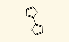 [c]1ccc(-c2cc[c]s2)o1